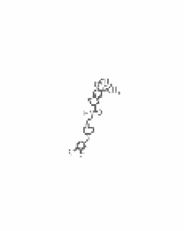 COc1cc2c(cc1OC)CCC(C(=O)NCCN1CCC(Cc3ccc(Cl)c(Cl)c3)CC1)=C2